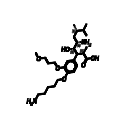 COCCCOc1cc(C([C@@H](C)C(=O)O)[C@H](O)[C@@H](N)C[C@H](C)C(C)C)ccc1OCCCCCN